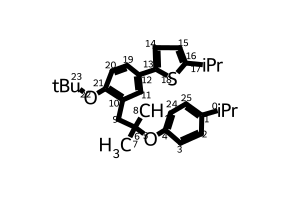 CC(C)c1ccc(OC(C)(C)Cc2cc(-c3ccc(C(C)C)s3)ccc2OC(C)(C)C)cc1